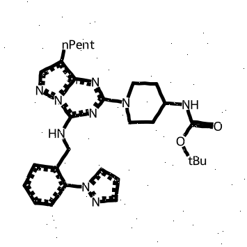 CCCCCc1cnn2c(NCc3ccccc3-n3cccn3)nc(N3CCC(NC(=O)OC(C)(C)C)CC3)nc12